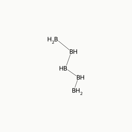 BBBBB